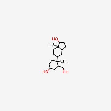 CC12CCC(C3(C)CCC(O)CC3CO)CC1CCC2O